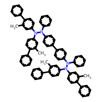 Cc1cc(N(c2ccc(-c3ccccc3)c(C)c2)N(c2ccccc2)c2ccc(-c3ccc(N(c4ccccc4)N(c4ccc(-c5ccccc5)c(C)c4)c4ccc(-c5ccccc5)c(C)c4)cc3)cc2)ccc1-c1ccccc1